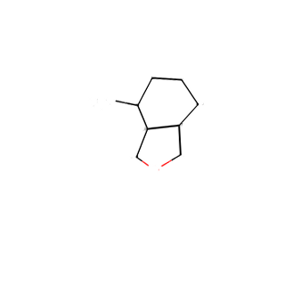 O=C(O)C1CCCC2COCC21